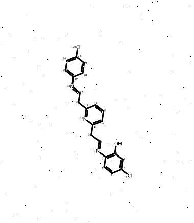 Oc1cc(Cl)ccc1N=CCc1cccc(CC=Nc2ccc(Cl)cc2)n1